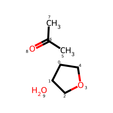 C1CCOC1.CC(C)=O.O